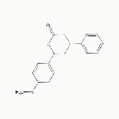 COc1ccc(C2=CC(c3ccccc3)CC(=O)O2)cc1